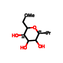 COCC1O[C@@H](C(C)C)C(O)C(O)[C@H]1O